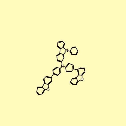 c1ccc(-n2c3ccccc3c3ccc(N(c4ccc(-c5ccc6c(c5)sc5ccccc56)cc4)c4ccc(-c5cccc6oc7ccccc7c56)cc4)cc32)cc1